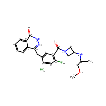 COCC(C)NC1CN(C(=O)c2cc(Cc3n[nH]c(=O)c4ccccc34)ccc2F)C1.Cl